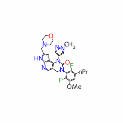 CCCc1cc(OC)c(F)c(N2Cc3cnc4[nH]c(CN5CCOCC5)cc4c3N(c3cnn(C)c3)C2=O)c1F